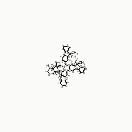 CC1(C)c2ccccc2-c2ccc(N3B4C5=C6C(=CC5)C5(C)CCCCC5(C)N6c5c4c(cc4c5oc5ccccc54)-c4cc5c(cc43)C(C)(C)c3ccccc3-5)cc21